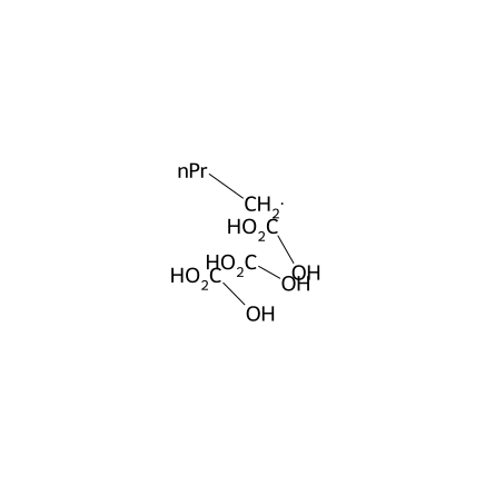 O=C(O)O.O=C(O)O.O=C(O)O.[CH2]CC[CH2]